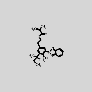 C=C(C)C(=O)OCCc1cc(-n2nc3ccccc3n2)c(O)c(C(C)(C)CC)c1